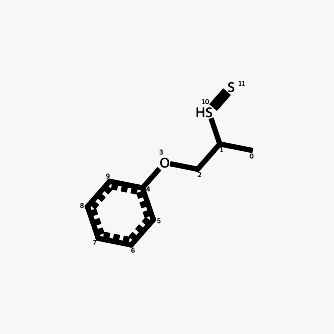 CC(COc1ccccc1)[SH]=S